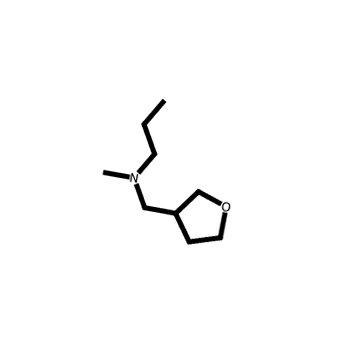 CCCN(C)CC1CCOC1